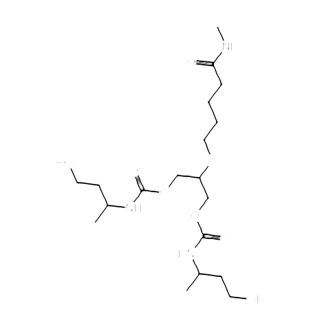 CNC(=O)CCCCOC(COC(=O)NC(C)CCO)COC(=O)NC(C)CCO